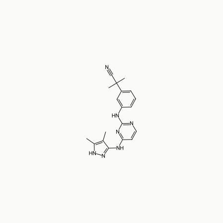 Cc1[nH]nc(Nc2ccnc(Nc3cccc(C(C)(C)C#N)c3)n2)c1C